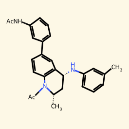 CC(=O)Nc1cccc(-c2ccc3c(c2)[C@H](Nc2cccc(C)c2)C[C@H](C)N3C(C)=O)c1